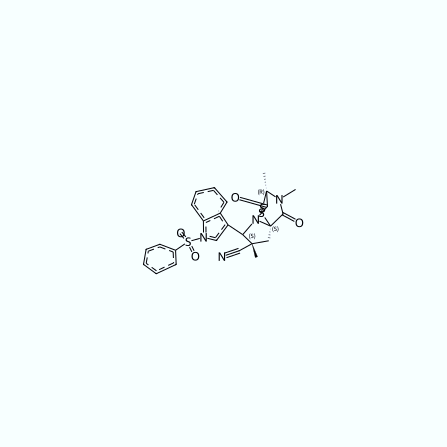 CN1C(=O)[C@@]23C[C@](C)(C#N)C(c4cn(S(=O)(=O)c5ccccc5)c5ccccc45)N2C(=O)[C@@]1(C)SS3